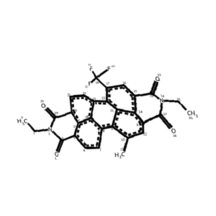 CCN1C(=O)c2ccc3c4c(C)cc5c6c(cc(C(F)(F)F)c(c7ccc(c2c37)C1=O)c64)C(=O)N(CC)C5=O